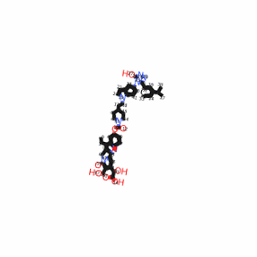 CCc1c2c(nc3ccc(OC(=O)N4CCC(CCn5ccc6cc(-n7c(O)nnc7-c7cccc(C(C)C)c7)ccc65)CC4)cc13)-c1cc(C(O)C(=O)O)c(CO)c(=O)n1C2